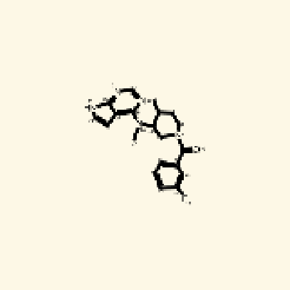 CC1CCN(C(=O)c2cccc(F)c2)CC1N(C)c1ncnc2[nH]ccc12